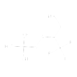 CCC(SSC(C)(C)C)C(F)(F)F